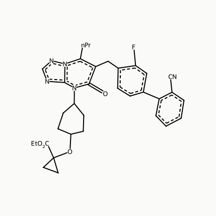 CCCc1c(Cc2ccc(-c3ccccc3C#N)cc2F)c(=O)n(C2CCC(OC3(C(=O)OCC)CC3)CC2)c2ncnn12